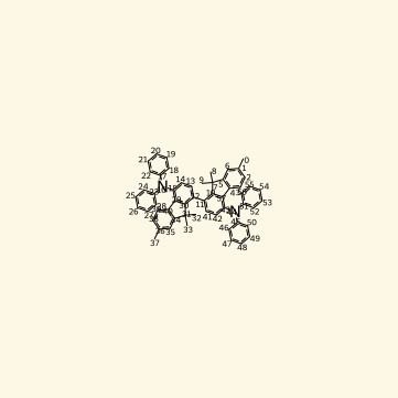 Cc1ccc2c(c1)C(C)(C)c1c(-c3ccc(N(c4ccccc4)c4ccccc4)c4c3C(C)(C)c3cc(C)ccc3-4)ccc(N(c3ccccc3)c3ccccc3)c1-2